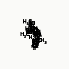 CC(=O)O[C@@H]1CC2=CC[C@H]3[C@@H]4CC[C@H]([C@H](C)CS(=O)(=O)c5ccccc5)[C@@]4(C)CC[C@@H]3[C@@]2(C)[C@@H](OC(C)=O)C1